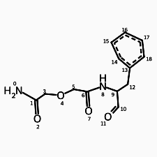 NC(=O)COCC(=O)NC(C=O)Cc1ccccc1